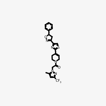 Cc1cc(C(F)(F)F)nn1CC(=O)N1CC=C(c2nc(C3=NOC(c4ccccc4)C3)cs2)CC1